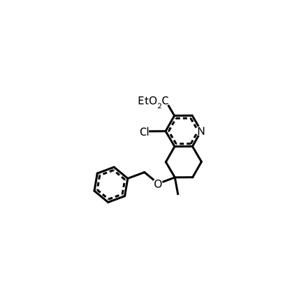 CCOC(=O)c1cnc2c(c1Cl)CC(C)(OCc1ccccc1)CC2